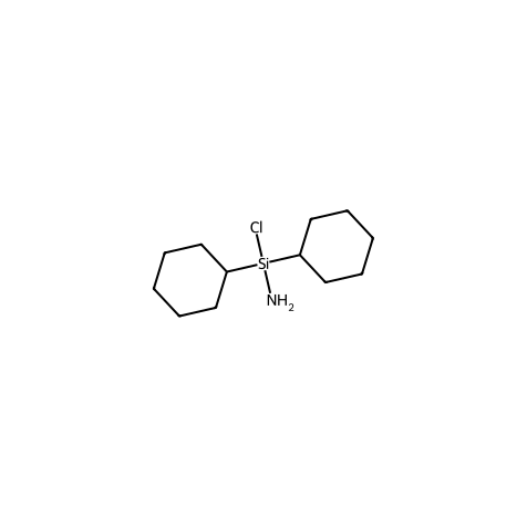 N[Si](Cl)(C1CCCCC1)C1CCCCC1